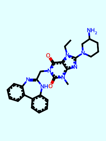 CCn1c(N2CCCC(N)C2)nc2c1c(=O)n(CC1=Nc3ccccc3-c3ccccc3N1)c(=O)n2C